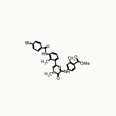 COC(=O)c1ccc(Nc2nc(-c3cccc(NC(=O)c4ccc(C(C)(C)C)cc4)c3C)cn(C)c2=O)cc1C